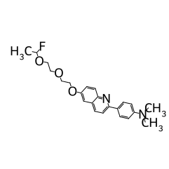 CC(F)OCCOCCOc1ccc2nc(-c3ccc(N(C)C)cc3)ccc2c1